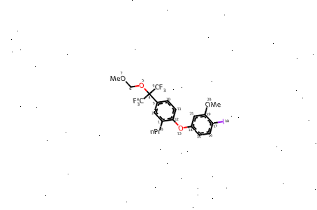 CCCc1cc(C(OCOC)(C(F)(F)F)C(F)(F)F)ccc1Oc1ccc(I)c(OC)c1